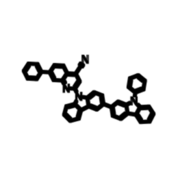 N#Cc1cc(-n2c3ccccc3c3cc(-c4ccc5c6ccccc6n(-c6ccccc6)c5c4)ccc32)nc2cc(-c3ccccc3)ccc12